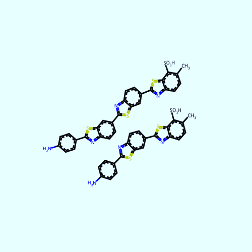 Cc1ccc2nc(-c3ccc4nc(-c5ccc(N)cc5)sc4c3)sc2c1S(=O)(=O)O.Cc1ccc2nc(-c3ccc4nc(-c5ccc6nc(-c7ccc(N)cc7)sc6c5)sc4c3)sc2c1S(=O)(=O)O